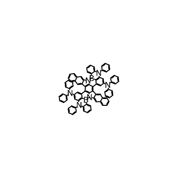 c1ccc(N(c2ccccc2)c2cc3c4c(c2)N(c2ccccc2)c2ccccc2B4n2c4cc5ccccc5cc4c4c5c6c(c-3c42)c2cc3ccccc3cc2n6B2c3ccccc3N(c3ccccc3)c3cc(N(c4ccccc4)c4ccccc4)cc-5c32)cc1